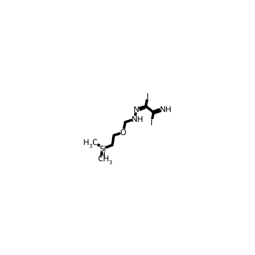 C[SiH](C)CCOCN/N=C(/I)C(=N)I